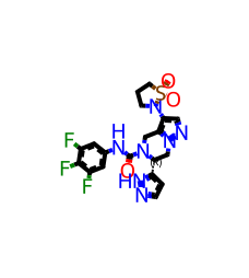 O=C(Nc1cc(F)c(F)c(F)c1)N1Cc2c(N3CCCS3(=O)=O)cnn2C[C@@H]1c1ccn[nH]1